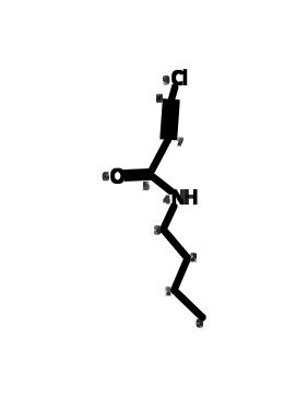 CCCCNC(=O)C#CCl